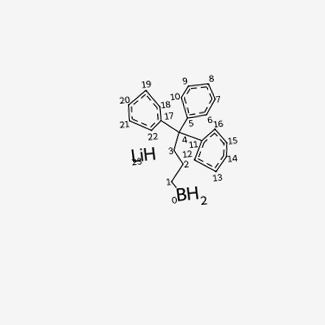 BCCCC(c1ccccc1)(c1ccccc1)c1ccccc1.[LiH]